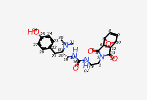 C[C@@H](CN1C(=O)C2C3C=CC(O3)C2C1=O)NC(=O)NC[C@H](Cc1ccc(O)cc1)N(C)C